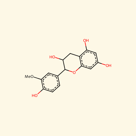 COc1cc(C2Oc3cc(O)cc(O)c3CC2O)ccc1O